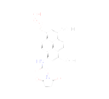 O=C(Nc1cc(S(=O)(=O)O)c2ccc3c(S(=O)(=O)O)cc(SOOO)c4ccc1c2c43)ON1C(=O)CCC1=O